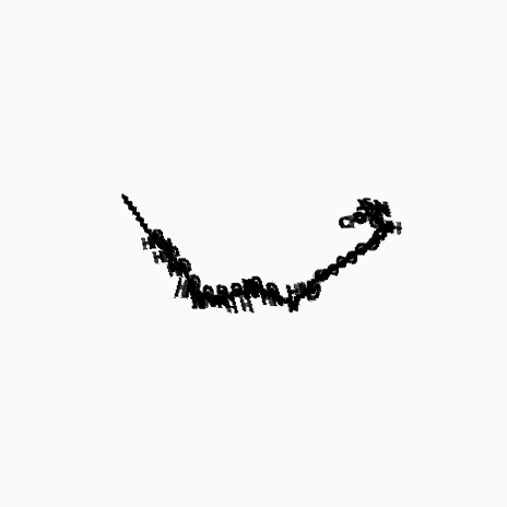 CCCCCCCCCCCCCCCC(=O)Nc1cc(C(=O)Nc2cc(C(=O)NCCC(=O)Nc3cc(C(=O)Nc4cc(C(=O)NCCC(=O)Nc5cn(C)c(C(=O)NCCC(=O)NCCCN(C)CCCNC(=O)CCOCCOCCOCCOCCOCCOc6ccc(NC(=O)C[C@@H]7N=C(c8ccc(Cl)cc8)c8c(sc(C)c8C)-n8c(C)nnc87)cc6)n5)n(C)c4)n(C)c3)n(C)c2)n(C)c1